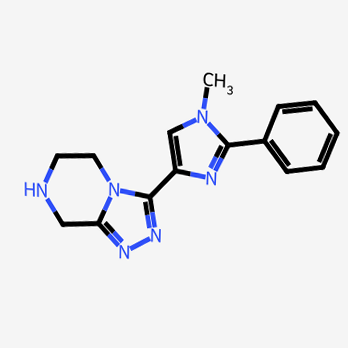 Cn1cc(-c2nnc3n2CCNC3)nc1-c1ccccc1